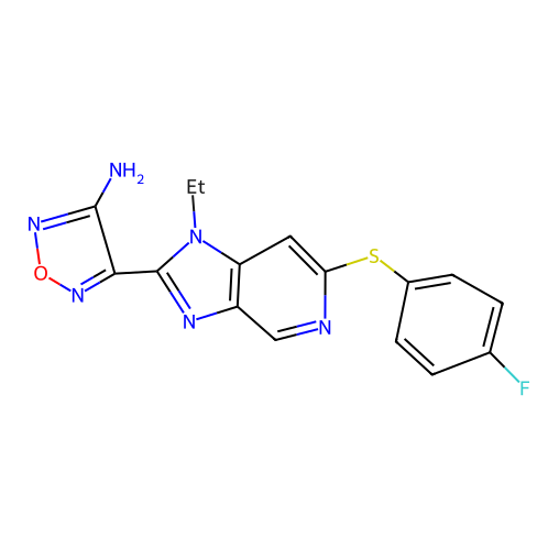 CCn1c(-c2nonc2N)nc2cnc(Sc3ccc(F)cc3)cc21